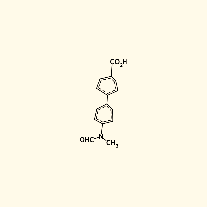 CN(C=O)c1ccc(-c2ccc(C(=O)O)cc2)cc1